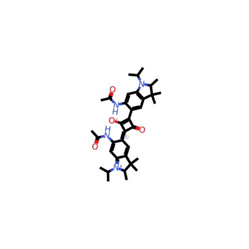 CC(=O)Nc1cc2c(cc1C1=C([O-])/C(=c3/cc4c(cc3NC(C)=O)=[N+](C(C)C)C(C)C4(C)C)C1=O)C(C)(C)C(C)N2C(C)C